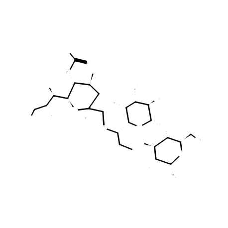 CCC(OC[C@]1(O)C[C@H](O)[C@@H](NC(C)=O)[C@H]([C@H](O)[C@H](O)CO)O1)[C@H]1O[C@@H](O[C@H]2[C@H](O)[C@@H](O)[C@@H](O)O[C@@H]2CO)[C@H](O)[C@@H](O)[C@H]1O